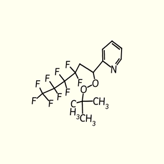 CC(C)(C)OOC(CC(F)(F)C(F)(F)C(F)(F)C(F)(F)F)c1ccccn1